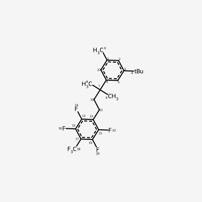 Cc1cc(C(C)(C)C)cc(C(C)(C)CCc2c(F)c(F)c(C(F)(F)F)c(F)c2F)c1